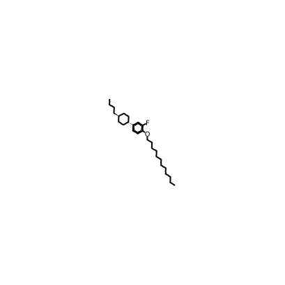 CCCCCCCCCCCCOc1ccc([C@H]2CC[C@H](CCCC)CC2)cc1F